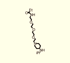 CCC(=O)NCCOCCOCCOCCN1CCC(NC(C)C)CC1